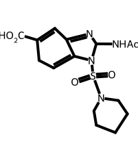 CC(=O)NC1N=C2C=C(C(=O)O)CC=C2N1S(=O)(=O)N1CCCCC1